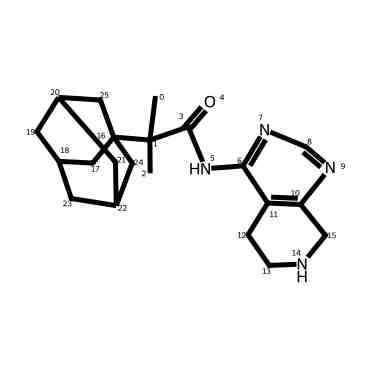 CC(C)(C(=O)Nc1ncnc2c1CCNC2)C12CC3CC(CC(C3)C1)C2